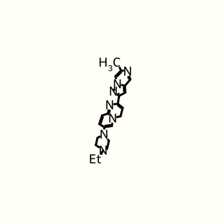 CCN1CCN(C2=CN3CC=C(c4cc5cnc(C)cn5n4)N=C3C=C2)CC1